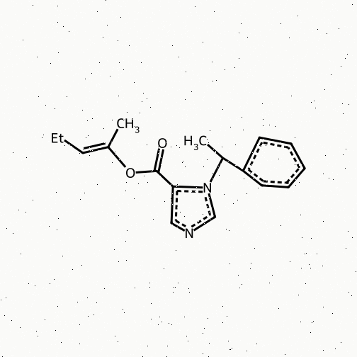 CC/C=C(\C)OC(=O)c1cncn1C(C)c1ccccc1